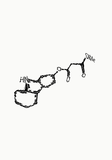 COC(=O)CC(=O)Oc1ccc2c(c1)[nH]c1ccccc12